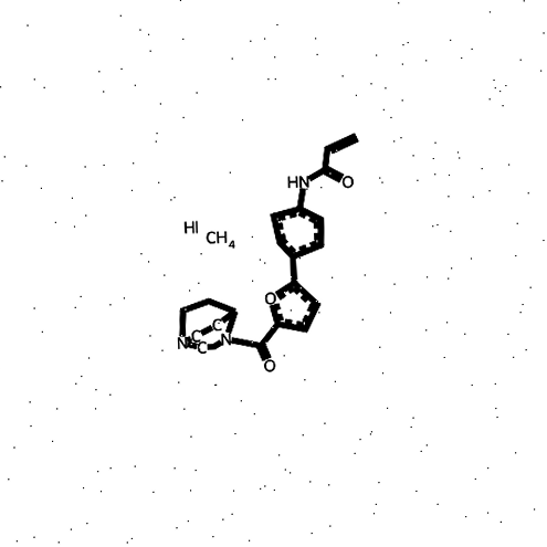 C.C=CC(=O)Nc1ccc(-c2ccc(C(=O)N3CCN4CCC3CC4)o2)cc1.I